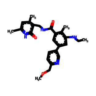 CCNc1cc(-c2ccc(COC)nc2)cc(C(=O)NCc2c(C)cc(C)[nH]c2=O)c1C